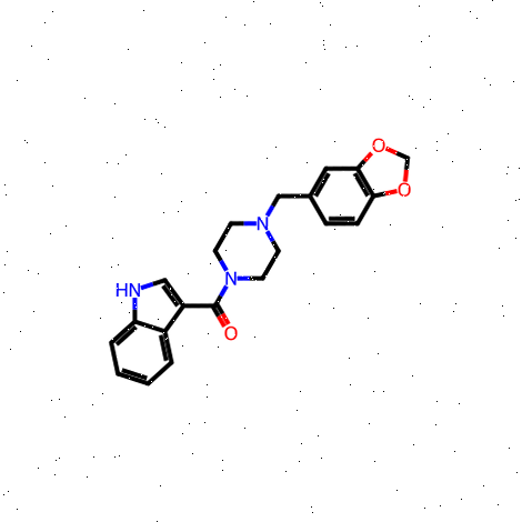 O=C(c1c[nH]c2ccccc12)N1CCN(Cc2ccc3c(c2)OCO3)CC1